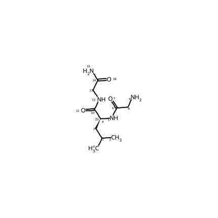 CC(C)C[C@H](NC(=O)CN)C(=O)NCC(N)=O